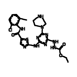 CCOC(=O)NNc1nc(Nc2ncc(C(=O)Nc3c(C)cccc3Cl)s2)nc(N2CCNCC2)n1